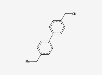 CCC(C)Cc1ccc(-c2ccc(CC#N)cc2)cc1